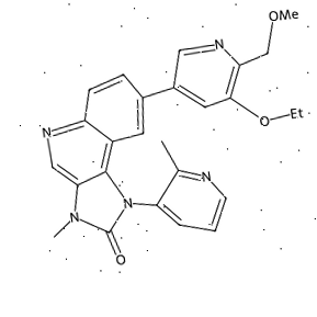 CCOc1cc(-c2ccc3ncc4c(c3c2)n(-c2cccnc2C)c(=O)n4C)cnc1COC